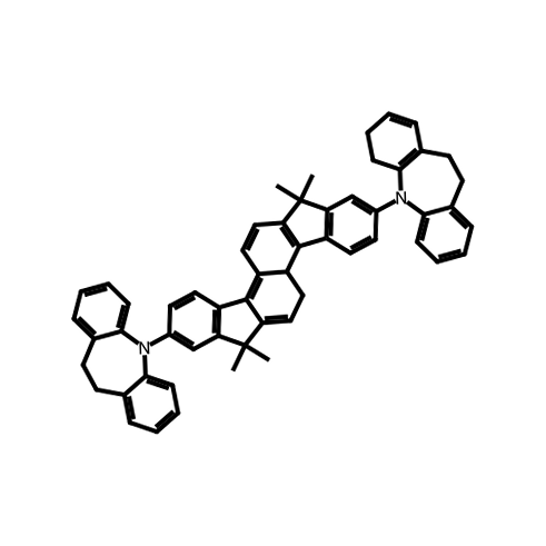 CC1(C)C2=CCC3C(=C2c2ccc(N4c5ccccc5CCc5ccccc54)cc21)C=CC1=C3c2ccc(N3C4=C(C=CCC4)CCc4ccccc43)cc2C1(C)C